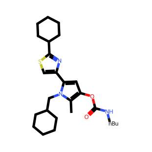 CCCCNC(=O)Oc1cc(-c2csc(C3CCCCC3)n2)n(CC2CCCCC2)c1C